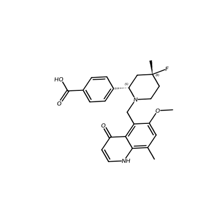 COc1cc(C)c2[nH]ccc(=O)c2c1CN1CC[C@@](C)(F)C[C@H]1c1ccc(C(=O)O)cc1